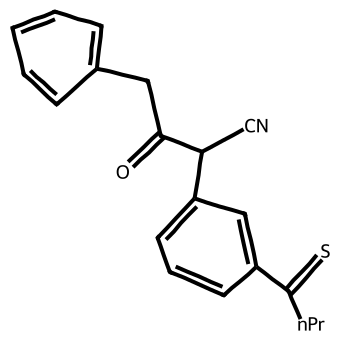 CCCC(=S)c1cccc(C(C#N)C(=O)Cc2ccccc2)c1